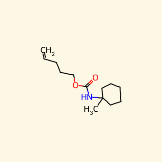 C=CCCCOC(=O)NC1(C)CCCCC1